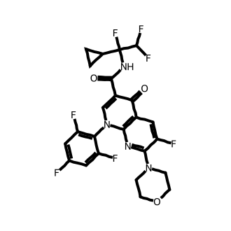 O=C(NC(F)(C(F)F)C1CC1)c1cn(-c2c(F)cc(F)cc2F)c2nc(N3CCOCC3)c(F)cc2c1=O